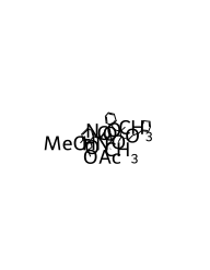 COc1ccnc(C(=O)N[C@@H](C)C(=O)O[C@H](COCc2ccccc2)[C@H](C)Oc2ccccc2)c1OCOC(C)=O